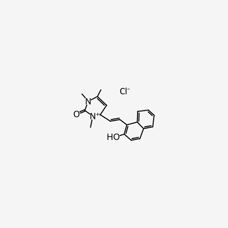 Cc1cc(C=Cc2c(O)ccc3ccccc23)[n+](C)c(=O)n1C.[Cl-]